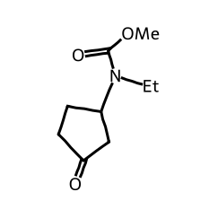 CCN(C(=O)OC)C1CCC(=O)C1